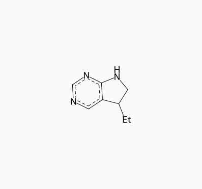 CCC1CNc2ncncc21